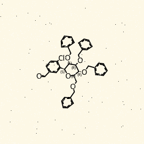 O=Cc1ccc(Cl)c([C@@H]2O[C@H](COCc3ccccc3)[C@@H](OCc3ccccc3)[C@H](OCc3ccccc3)[C@H]2OCc2ccccc2)c1